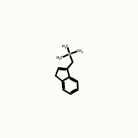 C[Si](C)(C)CC1=C[CH]c2ccccc21